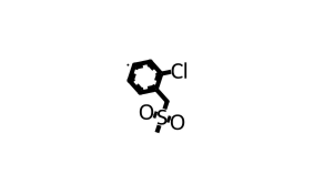 CS(=O)(=O)Cc1cc[c]cc1Cl